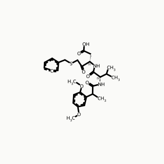 COc1ccc(OC)c(C(C)C(=O)N[C@H](C(=O)N[C@@H](CC(=O)O)C(=O)CSCc2ccccc2)C(C)C)c1